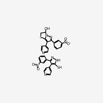 O=[N+]([O-])c1cccc(-c2n[nH]c(S)c2-c2ccncc2)c1.O=[N+]([O-])c1cccc(-c2nn3c(c2-c2ccncc2)SCC3O)c1